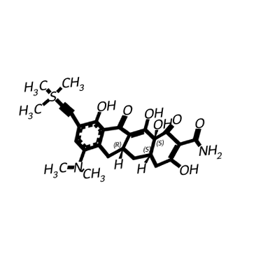 CN(C)c1cc(C#CS(C)(C)C)c(O)c2c1C[C@H]1C[C@H]3CC(O)=C(C(N)=O)C(=O)[C@@]3(O)C(O)=C1C2=O